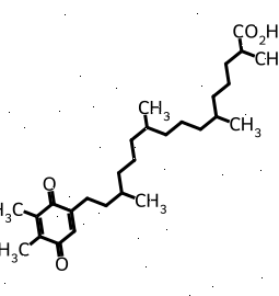 CC1=C(C)C(=O)C(CCC(C)CCCC(C)CCCC(C)CCCC(C)C(=O)O)=CC1=O